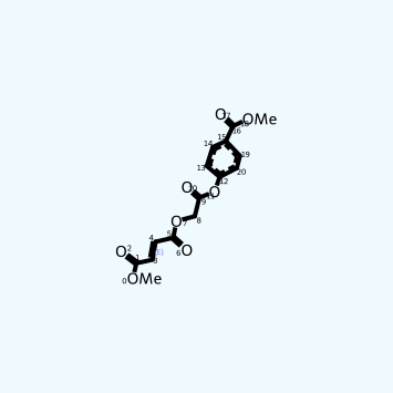 COC(=O)/C=C/C(=O)OCC(=O)Oc1ccc(C(=O)OC)cc1